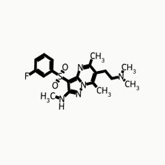 CNc1nn2c(C)c(CCN(C)C)c(C)nc2c1S(=O)(=O)c1cccc(F)c1